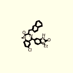 CCn1c(=O)[nH]c2cc(C3=NC(Cc4ccc5ccccc5c4)C(=O)N(C)c4ccc(Cl)cc43)ccc21